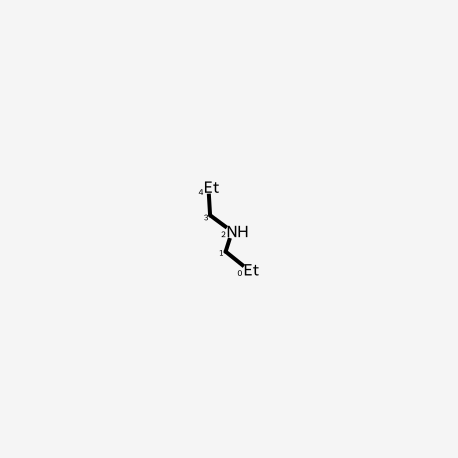 [CH]CCNCCC